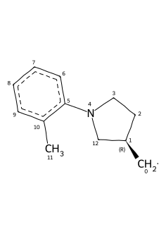 [CH2][C@@H]1CCN(c2ccccc2C)C1